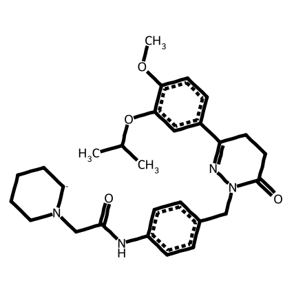 COc1ccc(C2=NN(Cc3ccc(NC(=O)CN4[CH]CCCC4)cc3)C(=O)CC2)cc1OC(C)C